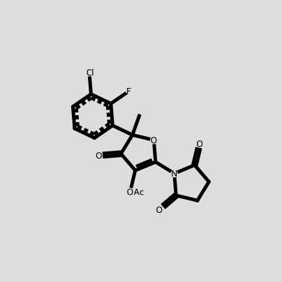 CC(=O)OC1=C(N2C(=O)CCC2=O)OC(C)(c2cccc(Cl)c2F)C1=O